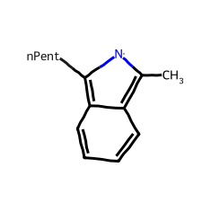 CCCCCC1=c2ccccc2=C(C)[N]1